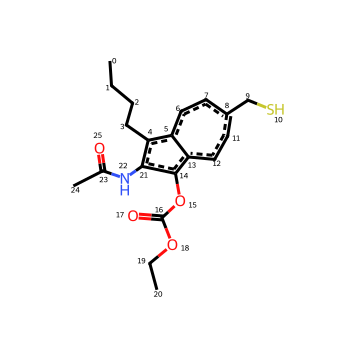 CCCCc1c2ccc(CS)ccc-2c(OC(=O)OCC)c1NC(C)=O